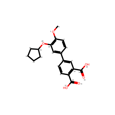 COc1ccc(-c2ccc(C(=O)O)c(C(=O)O)c2)cc1OC1CCCC1